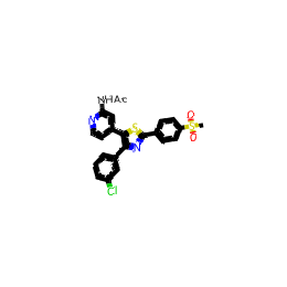 CC(=O)Nc1cc(-c2sc(-c3ccc(S(C)(=O)=O)cc3)nc2-c2cccc(Cl)c2)ccn1